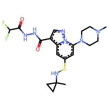 CN1CCN(c2cc(SNC3(C)CC3)cc3c(C(=O)NNC(=O)C(F)F)cnn23)CC1